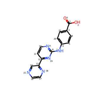 O=C(O)c1ccc(Nc2nccc(-c3cnccn3)n2)cc1